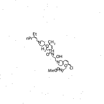 C=C(/C=C\C(=C)C(=O)NC[C@H](O)CN1CCC=C(/C=C\C(=C\Cl)OCC2CN2OOC)C1)OC1CCN(C/C=C(/CC)CCC)CC1